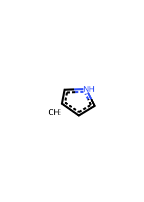 [CH].c1cc[nH]c1